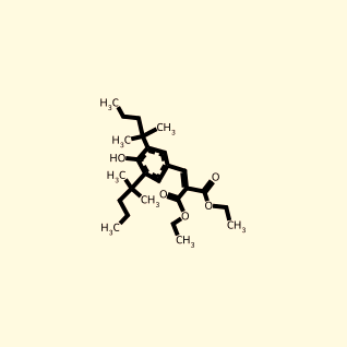 CCCC(C)(C)c1cc(C=C(C(=O)OCC)C(=O)OCC)cc(C(C)(C)CCC)c1O